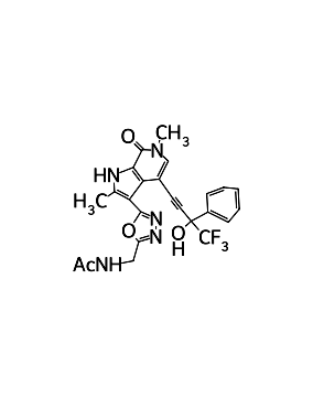 CC(=O)NCc1nnc(-c2c(C)[nH]c3c(=O)n(C)cc(C#CC(O)(c4ccccc4)C(F)(F)F)c23)o1